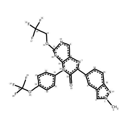 Cn1cc2cc(-c3nc4cnc(OCC(F)(F)F)nc4n(-c4ccc(OC(F)(F)F)cc4)c3=O)ccc2n1